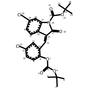 CC(C)(C)OC(=O)Oc1ccc(Cl)cc1/C=C1/C(=O)N(C(=O)OC(C)(C)C)c2cc(Cl)ccc21